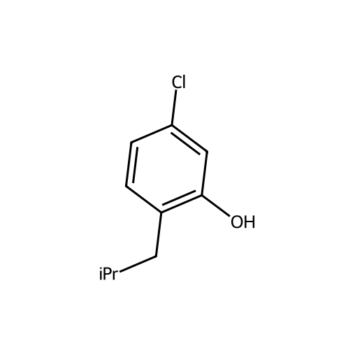 CC(C)Cc1ccc(Cl)cc1O